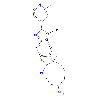 Cc1cc(-c2[nH]c3ccc(C4(C)CCCC(N)CCNC4=O)cc3c2C(C)C)ccn1